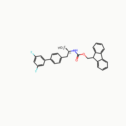 O=C(N[C@@H](Cc1ccc(-c2cc(F)cc(F)c2)cc1)C(=O)O)OCC1c2ccccc2-c2ccccc21